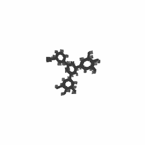 Cc1cc(-c2cc(-c3cc(C)c(C)c(C)c3)nc(-c3cccc(Br)c3)n2)cc(C)c1C